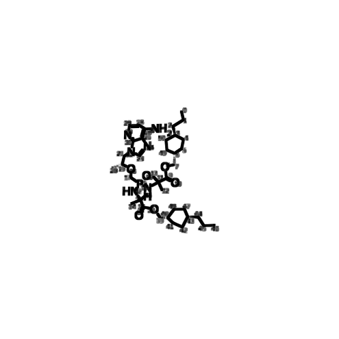 CCC[C@H]1CC[C@H](COC(=O)C(C)(C)NP(=O)(CO[C@H](C)Cn2cnc3c(N)ccnc32)NC(C)(C)C(=O)OC[C@H]2CC[C@H](CCC)CC2)CC1